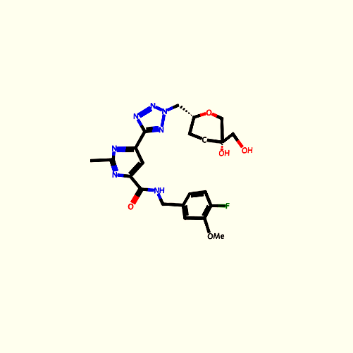 COc1cc(CNC(=O)c2cc(-c3nnn(C[C@H]4CC[C@](O)(CO)CO4)n3)nc(C)n2)ccc1F